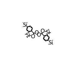 C[Si](C)(C)c1ccc(C(=O)OOC(=O)c2ccc([Si](C)(C)C)cc2[Si](C)(C)C)c([Si](C)(C)C)c1